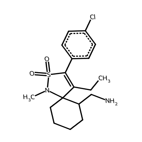 CCC1=C(c2ccc(Cl)cc2)S(=O)(=O)N(C)C12CCCCC2CN